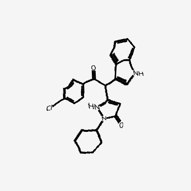 O=C(c1ccc(Cl)cc1)C(c1cc(=O)n(C2CCCCC2)[nH]1)c1c[nH]c2ccccc12